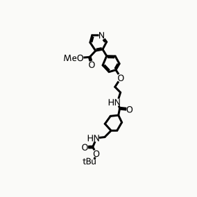 COC(=O)c1ccncc1-c1ccc(OCCNC(=O)C2CCC(CNC(=O)OC(C)(C)C)CC2)cc1